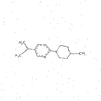 CC1CCN(c2ccc(C(C)C)cn2)CC1